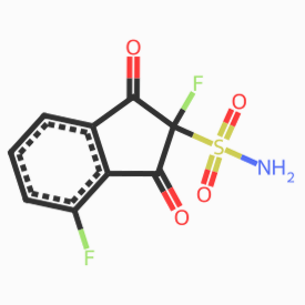 NS(=O)(=O)C1(F)C(=O)c2cccc(F)c2C1=O